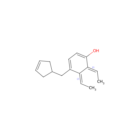 C/C=c1/c(CC2CC=CC2)ccc(O)/c1=C/C